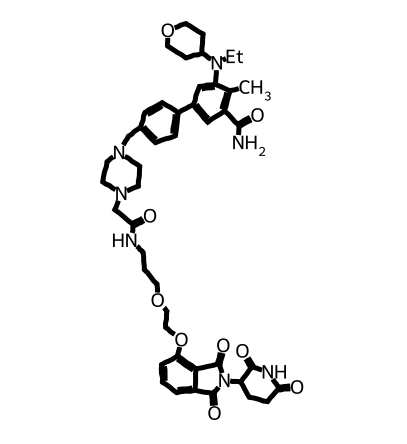 CCN(c1cc(-c2ccc(CN3CCN(CC(=O)NCCCOCCOc4cccc5c4C(=O)N(C4CCC(=O)NC4=O)C5=O)CC3)cc2)cc(C(N)=O)c1C)C1CCOCC1